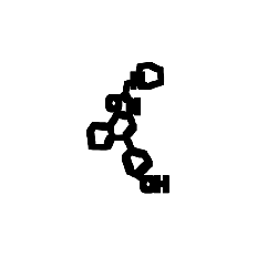 Oc1ccc(-c2cc3nc(CN4CCCCC4)oc3c3ccccc23)cc1